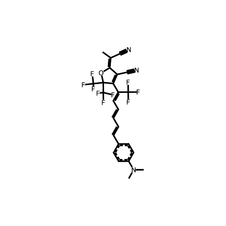 C/C(C#N)=C1\OC(C(F)(F)F)(C(F)(F)F)C(C(=C/C=C/C=C/c2ccc(N(C)C)cc2)/C(F)(F)F)=C1C#N